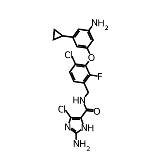 Nc1cc(Oc2c(Cl)ccc(CNC(=O)c3[nH]c(N)nc3Cl)c2F)cc(C2CC2)c1